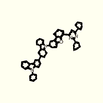 c1ccc(-c2cc(-c3cccc4c3oc3ccc(-n5c6ccccc6c6cc(-c7ccc8c(c7)c7ccccc7n8-c7ccccc7)ccc65)cc34)nc(-c3ccccc3)n2)cc1